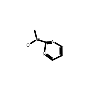 C[S+]([O-])c1n[c]ccn1